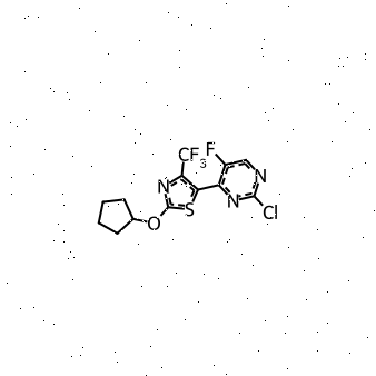 Fc1cnc(Cl)nc1-c1sc(OC2CCCC2)nc1C(F)(F)F